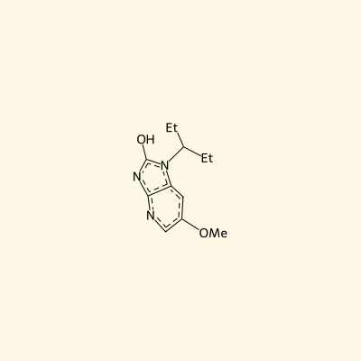 CCC(CC)n1c(O)nc2ncc(OC)cc21